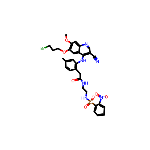 COc1cc2ncc(C#N)c(Nc3cc(C)ccc3CC(=O)NCCNS(=O)(=O)c3ccccc3[N+](=O)[O-])c2cc1OCCCBr